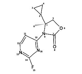 C[C@]1(C2CC2)COC(=O)N1c1ccnc(F)n1